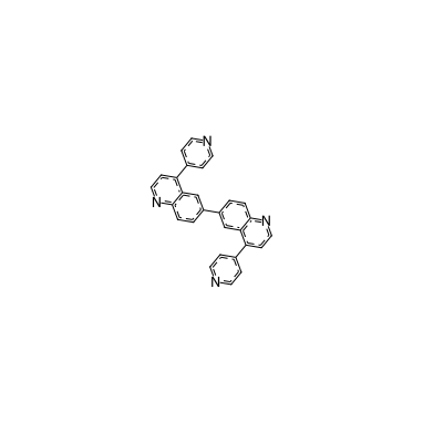 c1cc(-c2ccnc3ccc(-c4ccc5nccc(-c6ccncc6)c5c4)cc23)ccn1